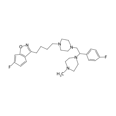 CN1CCN(C(CN2CCN(CCCCc3noc4cc(F)ccc34)CC2)c2ccc(F)cc2)CC1